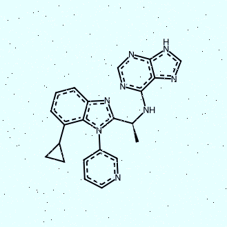 C[C@H](Nc1ncnc2[nH]cnc12)c1nc2cccc(C3CC3)c2n1-c1cccnc1